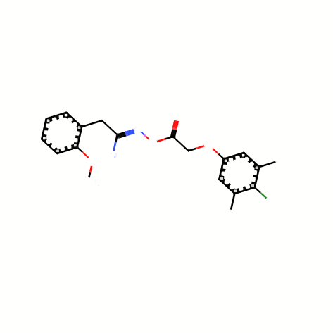 COc1ccccc1C/C(N)=N/OC(=O)COc1cc(C)c(Cl)c(C)c1